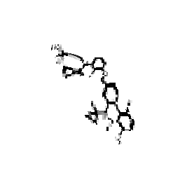 COc1ccc(F)c(-c2ccc(COc3cccc([C@H](CC(=O)O)C4(C)CC4)c3F)cc2[C@H](OC)C2(C)CC2)c1